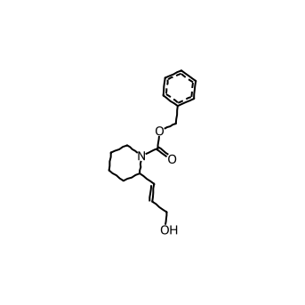 O=C(OCc1ccccc1)N1CCCCC1C=CCO